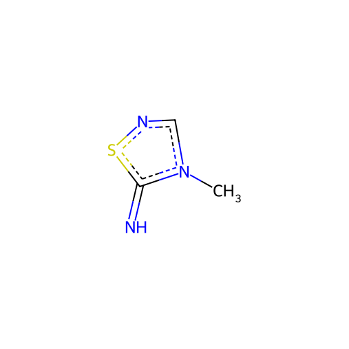 Cn1cnsc1=N